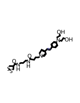 O=C(CCC[n+]1ccc(/C=C/c2ccc(N(CCO)CCO)cc2)cc1)NCCCNC(=O)C1CSSC1